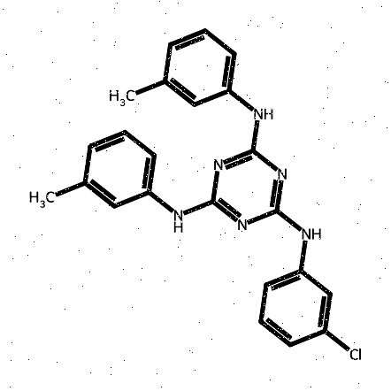 Cc1cccc(Nc2nc(Nc3cccc(C)c3)nc(Nc3cccc(Cl)c3)n2)c1